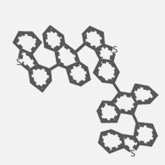 c1ccc2c(c1)sc1cccc(-c3c4ccccc4c(-c4ccc5c(c4)sc4cccc(-c6c7ccccc7c(-c7cccc8sc9ccccc9c78)c7ccccc67)c45)c4ccccc34)c12